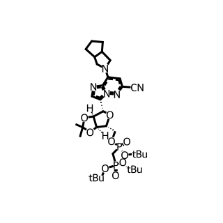 CC(C)(C)OP(=O)(CP(=O)(OC(C)(C)C)OC(C)(C)C)OC[C@H]1O[C@@H](c2cnc3c(N4CC5CCCC5C4)cc(C#N)nn23)[C@@H]2OC(C)(C)O[C@@H]21